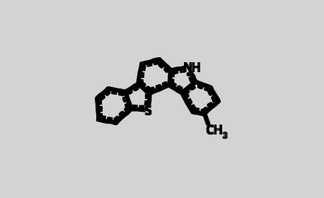 Cc1ccc2[nH]c3ccc4c5ccccc5sc4c3c2c1